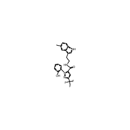 Cc1ccc2[nH]cc(CCNC(=O)c3cc(C(F)(F)F)nn3-c3ccccc3O)c2c1